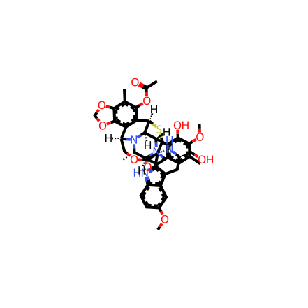 COc1ccc2[nH]c3c(c2c1)C[C@H](CO)N[C@]31CS[C@@H]2c3c(OC(C)=O)c(C)c4c(c3[C@H](COC1=O)N1[C@@H]2[C@@H]2c3c(cc(C)c(OC)c3O)C[C@@H]([C@@H]1C)N2C)OCO4